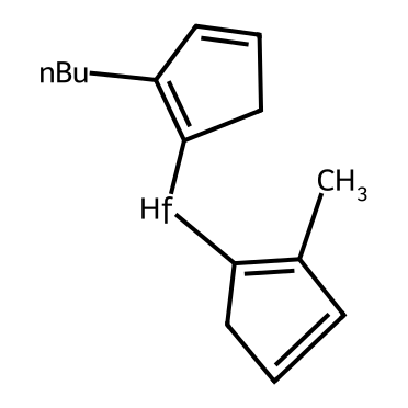 CCCCC1=[C]([Hf][C]2=C(C)C=CC2)CC=C1